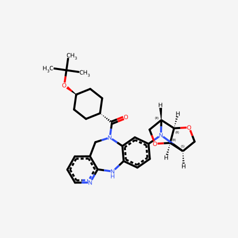 CC(C)(C)O[C@H]1CC[C@H](C(=O)N2Cc3cccnc3Nc3ccc(N4[C@@H]5CO[C@H]6[C@@H]5OC[C@@H]64)cc32)CC1